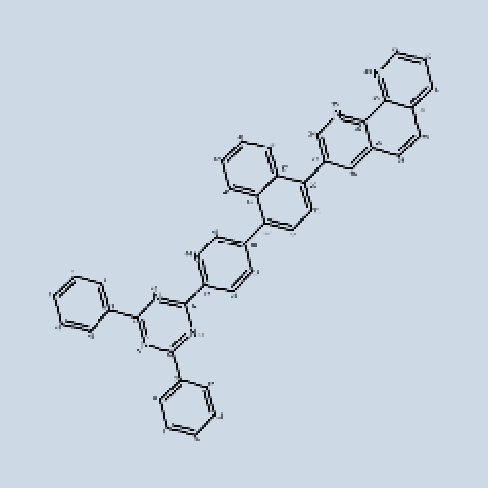 c1ccc(-c2nc(-c3ccccc3)nc(-c3ccc(-c4ccc(-c5cnc6c(ccc7cccnc76)c5)c5ccccc45)cn3)n2)cc1